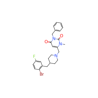 Cn1c(CN2CCC(Cc3cc(F)ccc3Br)CC2)cc(=O)n(Cc2ccccc2)c1=O